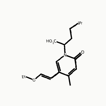 CCOC=Cc1cn(C(CCC(C)C)C(=O)O)c(=O)cc1C